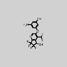 N#Cc1cc(N)cc(Oc2cnc3c(c2C(F)F)[C@@H](O)C(F)(F)C3(F)F)c1